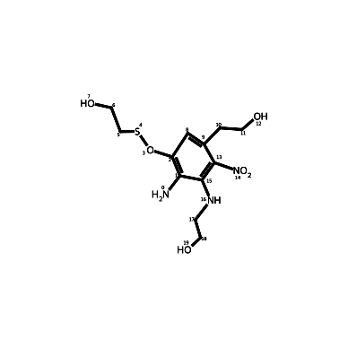 Nc1c(OSCCO)cc(CCO)c([N+](=O)[O-])c1NCCO